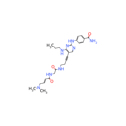 CCCNc1nc(Nc2ccc(C(N)=O)cc2)ncc1C#CCCNC(=O)CNC(=O)/C=C/CN(C)C